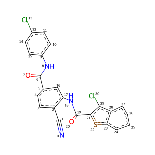 N#Cc1ccc(C(=O)Nc2ccc(Cl)cc2)cc1NC(=O)c1sc2ccccc2c1Cl